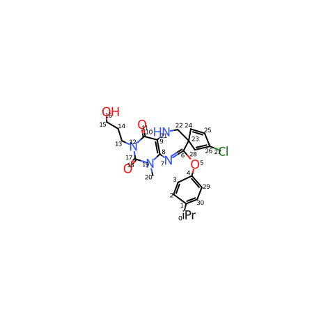 CC(C)c1ccc(OC2=Nc3c(c(=O)n(CCCO)c(=O)n3C)NCC23C=CC(Cl)=C3)cc1